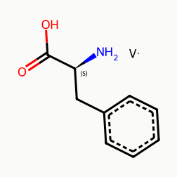 N[C@@H](Cc1ccccc1)C(=O)O.[V]